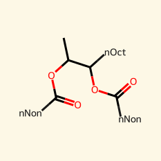 CCCCCCCCCC(=O)OC(C)C(CCCCCCCC)OC(=O)CCCCCCCCC